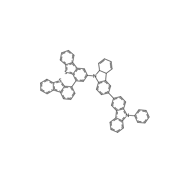 C1=CC2c3cc(-c4ccc5c(c4)c4ccccc4n5-c4ccccc4)ccc3N(c3cc(-c4cccc5c4sc4ccccc45)c4sc5ccccc5c4c3)C2C=C1